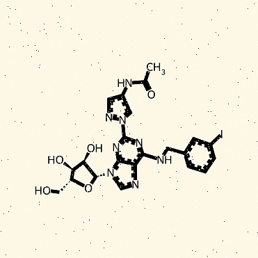 CC(=O)Nc1cnn(-c2nc(NCc3cccc(I)c3)c3ncn([C@@H]4O[C@H](CO)[C@@H](O)[C@H]4O)c3n2)c1